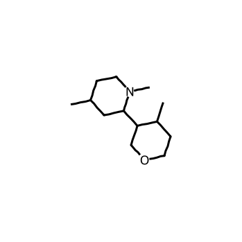 CC1CCN(C)C(C2COCCC2C)C1